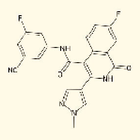 Cn1cc(-c2[nH]c(=O)c3cc(F)ccc3c2C(=O)Nc2cc(F)cc(C#N)c2)cn1